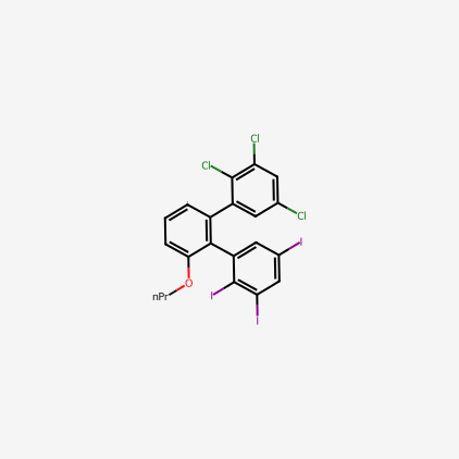 CCCOc1cc[c]c(-c2cc(Cl)cc(Cl)c2Cl)c1-c1cc(I)cc(I)c1I